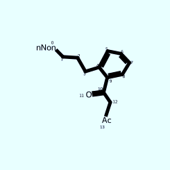 CCCCCCCCCCCCc1ccccc1C(=O)CC(C)=O